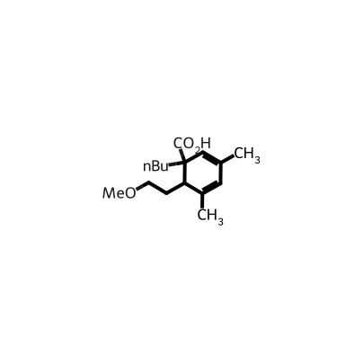 CCCCC1(C(=O)O)C=C(C)C=C(C)C1CCOC